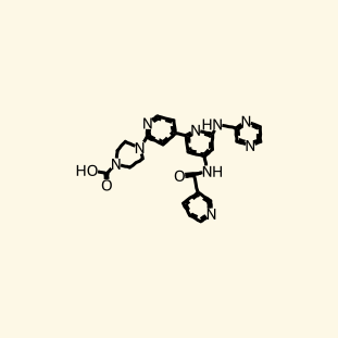 O=C(Nc1cc(Nc2cnccn2)nc(-c2ccnc(N3CCN(C(=O)O)CC3)c2)c1)c1cccnc1